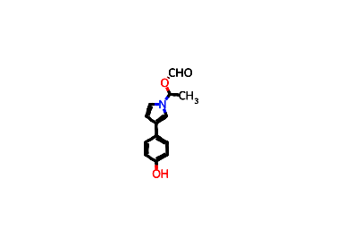 CC(OC=O)n1ccc(-c2ccc(O)cc2)c1